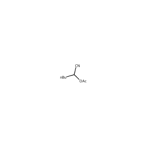 [CH2]C(=O)OC(C#N)CCCC